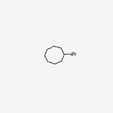 CC(C)C1[CH]CCCCCC1